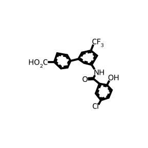 O=C(O)c1ccc(-c2cc(NC(=O)c3cc(Cl)ccc3O)cc(C(F)(F)F)c2)cc1